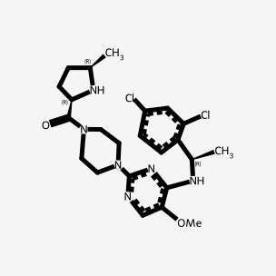 COc1cnc(N2CCN(C(=O)[C@H]3CC[C@@H](C)N3)CC2)nc1N[C@H](C)c1ccc(Cl)cc1Cl